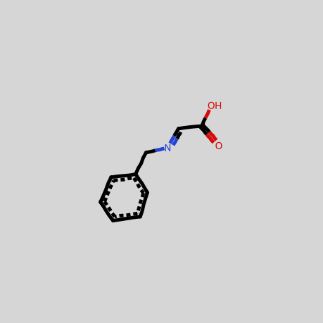 O=C(O)C=NCc1ccccc1